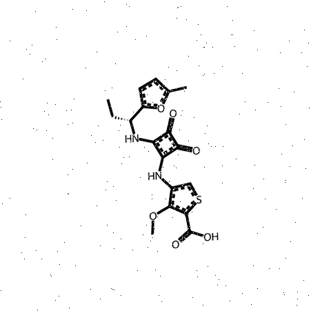 CC[C@@H](Nc1c(Nc2csc(C(=O)O)c2OC)c(=O)c1=O)c1ccc(C)o1